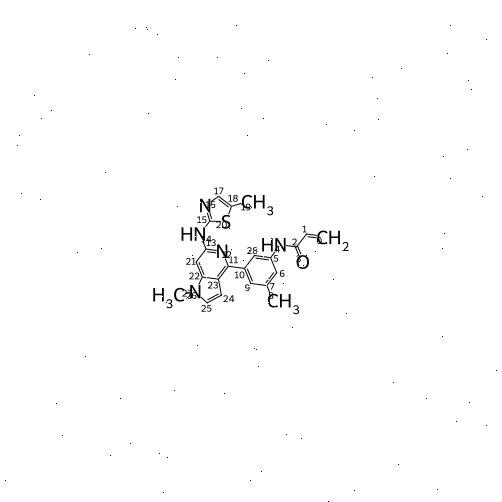 C=CC(=O)Nc1cc(C)cc(-c2nc(Nc3ncc(C)s3)cc3c2ccn3C)c1